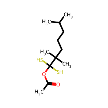 CC(=O)OC(S)(S)C(C)(C)CCCC(C)C